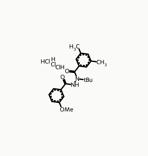 COc1cccc(C(=O)NN(C(=O)c2cc(C)cc(C)c2)C(C)(C)C)c1.Cl.Cl.Cl